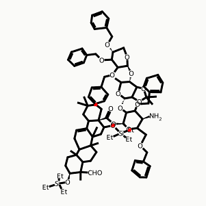 CC[Si](CC)(CC)OC1CC2(C)C(=CCC3C4(C)CC[C@H](O[Si](CC)(CC)CC)C(C)(C=O)C4CCC32C)C2CC(C)(C)CC[C@]12C(=O)O[C@@H]1OC(COCc2ccccc2)[C@H](N)C(OCc2ccccc2)C1O[C@@H]1OC(C)[C@H](O[C@@H]2OC[C@@H](OCc3ccccc3)C(OCc3ccccc3)C2OCc2ccccc2)C2OC(C)(C)OC21